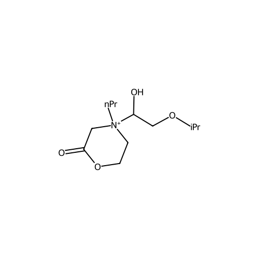 CCC[N+]1(C(O)COC(C)C)CCOC(=O)C1